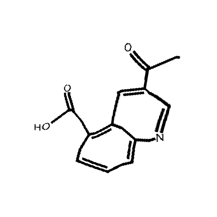 CC(=O)c1cnc2cccc(C(=O)O)c2c1